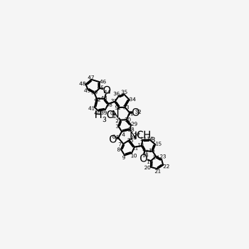 Cn1c2cc3c(=O)c4cccc(-c5cccc6c5oc5ccccc56)c4n(C)c3cc2c(=O)c2cccc(-c3cccc4c3oc3ccccc34)c21